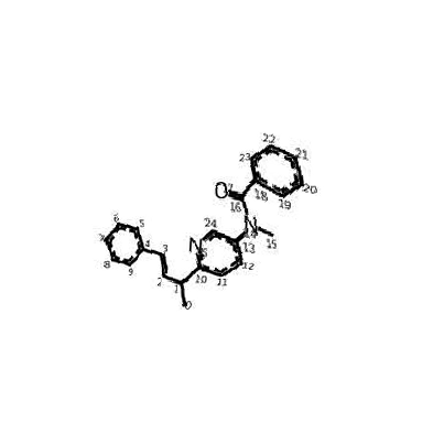 CC(C=Cc1ccccc1)c1ccc(N(C)C(=O)c2ccccc2)cn1